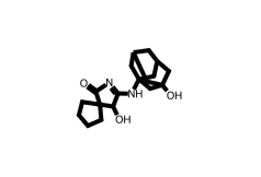 O=C1N=C(NC23CC4CC(CC(O)(C4)C2)C3)C(O)C12CCCC2